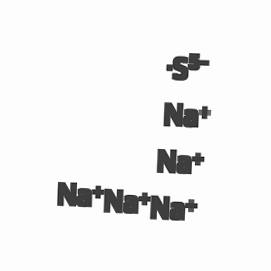 [Na+].[Na+].[Na+].[Na+].[Na+].[S-5]